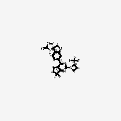 O=C1N[C@@]2(CO1)COc1cc(-c3nc(N4CC[C@@H]4C(F)(F)F)nc4c3CCC4(F)F)ccc12